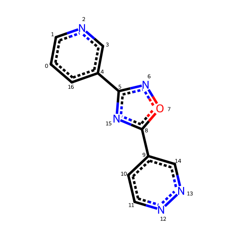 c1cncc(-c2noc(-c3ccnnc3)n2)c1